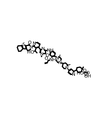 C=CC(=O)Nc1cc(Nc2nc(-c3ccnc(N4CCc5c(sc6c5CCCC6)C4=O)c3C(C)O)cn(C)c2=O)ccc1N1CCN(C2CCN(c3ccnc(C4CCC(C)(OP(=O)(O)O)CC4)c3)[C@H](C)C2)C[C@@H]1C